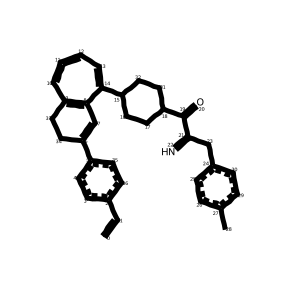 C=Cc1ccc(C2=CC3=C(C=C=CC=C3C3CCC(C(=O)C(=N)Cc4ccc(C)cc4)CC3)CC2)cc1